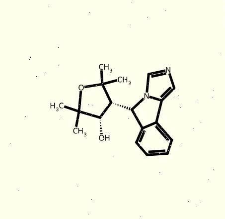 CC1(C)OC(C)(C)[C@@H](O)[C@H]1C1c2ccccc2-c2cncn21